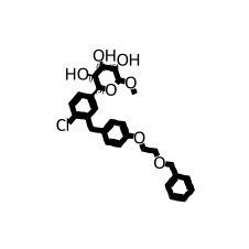 COC1O[C@@H](c2ccc(Cl)c(Cc3ccc(OCCOCc4ccccc4)cc3)c2)[C@H](O)[C@@H](O)[C@@H]1O